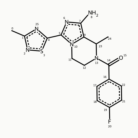 Cc1nsc(-c2nc(N)c3n2CCN(C(=O)c2ccc(F)cc2)C3C)n1